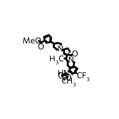 COC(=O)c1cccc(C2CCN(C3CC[C@@]4(C3)C(=O)N3Cc5cc(C(F)(F)F)cc(NS(C)(=O)=O)c5CC3C4C)CC2)c1